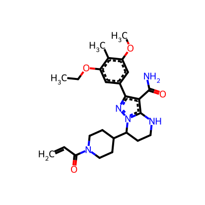 C=CC(=O)N1CCC(C2CCNc3c(C(N)=O)c(-c4cc(OC)c(C)c(OCC)c4)nn32)CC1